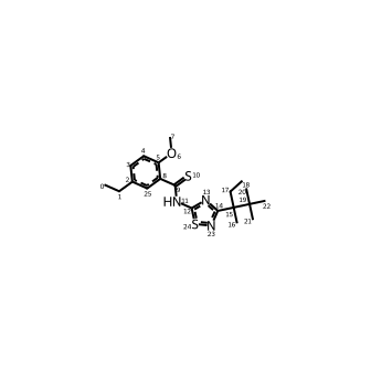 CCc1ccc(OC)c(C(=S)Nc2nc(C(C)(CC)C(C)(C)C)ns2)c1